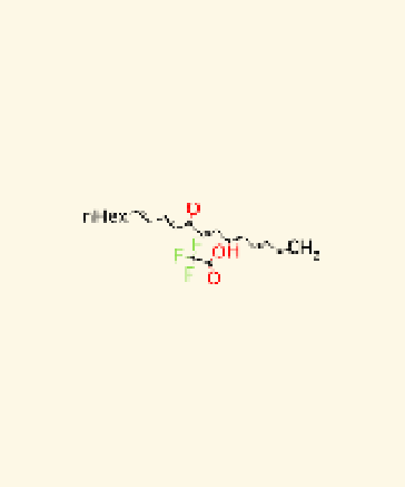 C=CC=CC=CC=CC(=O)C=CC=CCCCCCC.O=C(O)C(F)(F)F